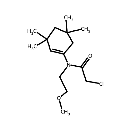 COCCN(C(=O)CCl)C1=CC(C)(C)CC(C)(C)C1